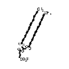 CC#CC#CC#CC#CC#CC#CC#CC#CC(=O)OCC(COC(=O)C#CC#CC#CC#CC#CC#CC#CC#CC)OC(=O)CCCC(=O)O